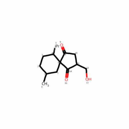 CC1CCC(C(C)C)C2(C1)C(=O)CC(CO)C2=O